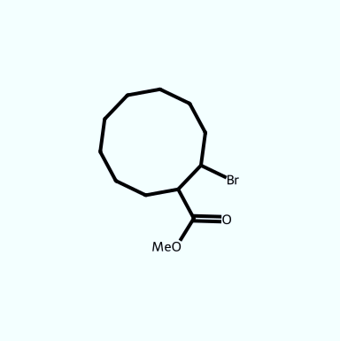 COC(=O)C1CCCCCCCCC1Br